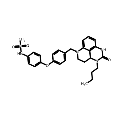 CCCCN1C(=O)Nc2cccc3c2C1CCN3Cc1ccc(Oc2ccc(NS(C)(=O)=O)cc2)cc1